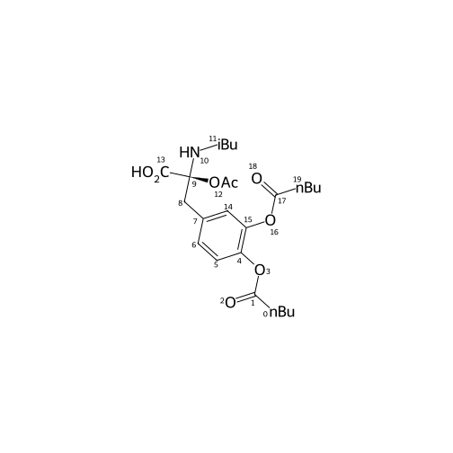 CCCCC(=O)Oc1ccc(C[C@](NC(C)CC)(OC(C)=O)C(=O)O)cc1OC(=O)CCCC